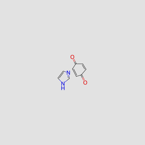 O=C1C=CC(=O)C=C1.c1c[nH]cn1